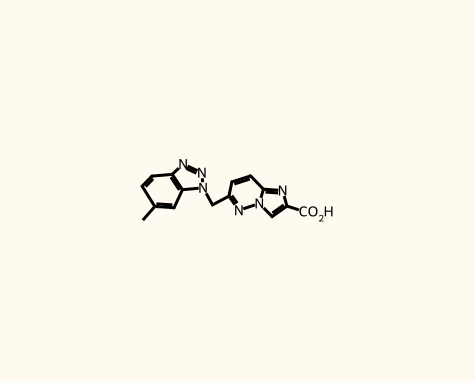 Cc1ccc2nnn(Cc3ccc4nc(C(=O)O)cn4n3)c2c1